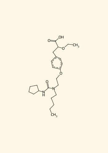 CCCCCN(CCOc1ccc(CC(OCC)C(=O)O)cc1)C(=O)NC1CCCC1